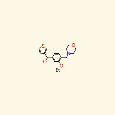 CCOc1cc(C(=O)c2ccsc2)ccc1CN1CCOCC1